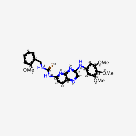 COc1ccccc1CNC(=S)Nc1ccc2ncc(Nc3cc(OC)c(OC)c(OC)c3)nc2n1